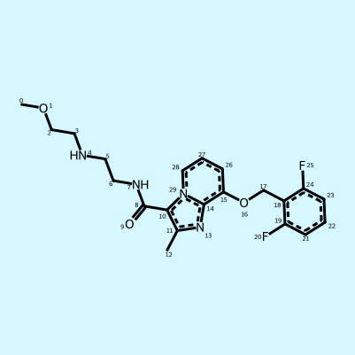 COCCNCCNC(=O)c1c(C)nc2c(OCc3c(F)cccc3F)cccn12